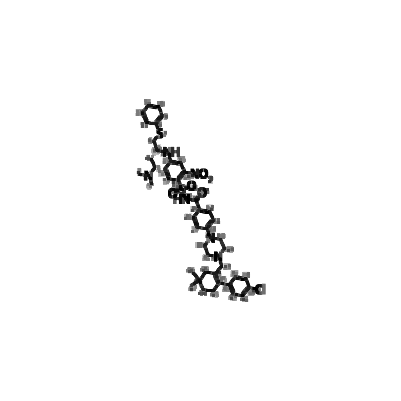 CN(C)CC[C@H](CSc1ccccc1)Nc1ccc(S(=O)(=O)NC(=O)c2ccc(N3CCN(CC4=C(c5ccc(Cl)cc5)CCC(C)(C)C4)CC3)cc2)c([N+](=O)[O-])c1